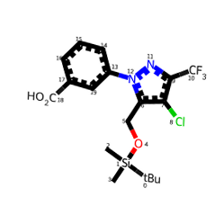 CC(C)(C)[Si](C)(C)OCc1c(Cl)c(C(F)(F)F)nn1-c1cccc(C(=O)O)c1